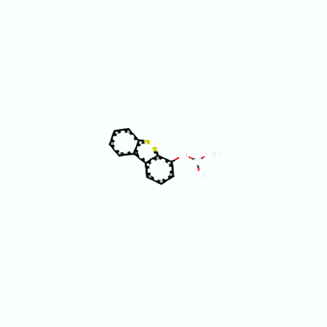 OB(O)Oc1cccc2c1sc1ccccc12